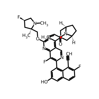 C#Cc1c(F)ccc2cc(O)cc(-c3ncc4c(N5C[C@H]6CC[C@@H](C5)N6C(=O)C=C)nc(OC[C@@]5(C)C[C@@H](F)CN5C)nc4c3F)c12